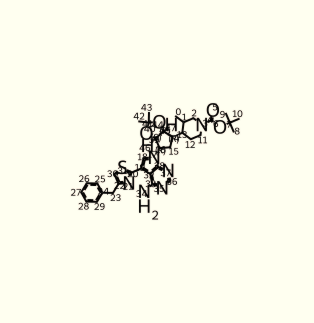 CC1CN(C(=O)OC(C)(C)C)CCC1[C@H]1C[C@@H](n2cc(-c3nc(Cc4ccccc4)cs3)c3c(N)ncnc32)[C@@H]2OC(C)(C)O[C@@H]21